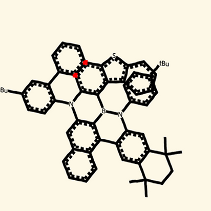 CC(C)(C)c1ccc(N2B3c4c(cc5ccccc5c4-c4cc5c(cc42)C(C)(C)CCC5(C)C)N(c2ccc(C(C)(C)C)cc2-c2ccccc2)c2ccc4sc5ccccc5c4c23)cc1